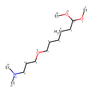 CCOC(C[SiH2]CCCOCCCN(CC)CC)OCC